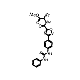 COC(=O)C(NC(=O)c1nc(-c2ccc(NC(=S)Nc3ccccc3)cc2)no1)C(C)C